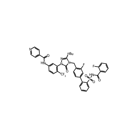 CCCCc1nn(-c2cc(NC(=O)c3ccncc3)ccc2C(F)(F)F)c(=O)n1Cc1ccc(-c2ccccc2S(=O)(=O)NC(=O)c2ccccc2F)cc1F